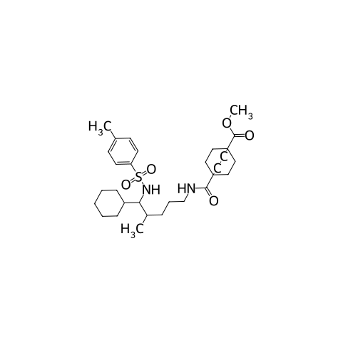 COC(=O)C12CCC(C(=O)NCCCC(C)C(NS(=O)(=O)c3ccc(C)cc3)C3CCCCC3)(CC1)CC2